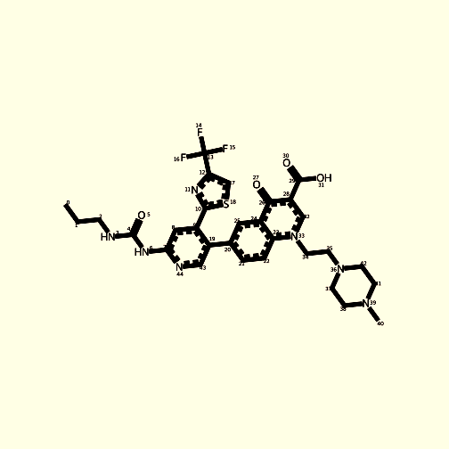 CCCNC(=O)Nc1cc(-c2nc(C(F)(F)F)cs2)c(-c2ccc3c(c2)c(=O)c(C(=O)O)cn3CCN2CCN(C)CC2)cn1